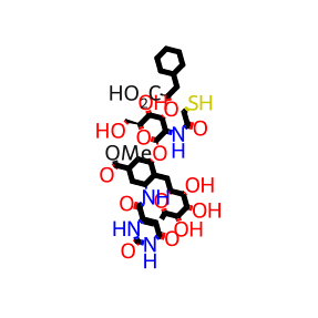 COC(=O)C1CC(O[C@@H]2O[C@@H](CO)C(O)C(O[C@@H](CC3CCCCC3)C(=O)O)C2NC(=O)CS)C(CC2OC(C)C(O)C(O)C2O)[C@H](NC(=O)c2cc(=O)[nH]c(=O)[nH]2)C1